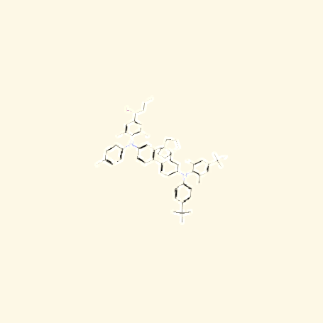 CCCC(I)c1cc(C)c(N(c2ccc(C)cc2)c2ccc3c(c2)[C@]24CCC[C@@]2(CC4)c2cc(N(c4ccc(C(C)(C)C)cc4)c4c(C)cc(C(C)(C)C)cc4C)ccc2-3)c(C)c1